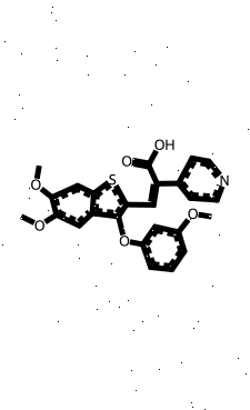 COc1cccc(Oc2c(C=C(C(=O)O)c3ccncc3)sc3cc(OC)c(OC)cc23)c1